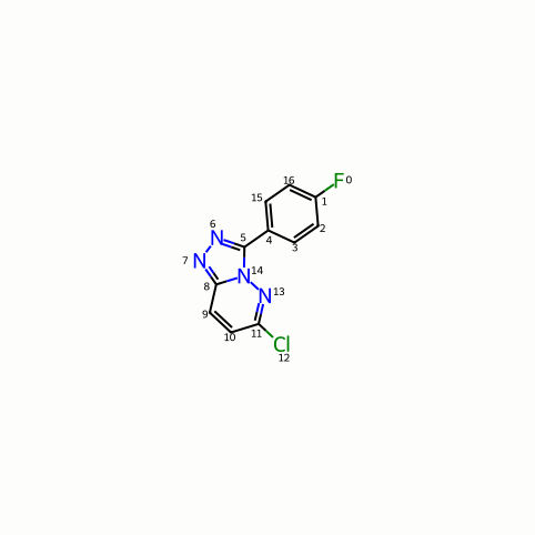 Fc1ccc(-c2nnc3ccc(Cl)nn23)cc1